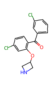 O=C(c1cccc(Cl)c1)c1ccc(Cl)cc1OC1CNC1